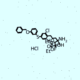 CCOP(=O)(OCC)C(F)(F)C(O)C(N)(CO)CCCc1ccc(Sc2cccc(OCc3ccccc3)c2)cc1Cl.Cl